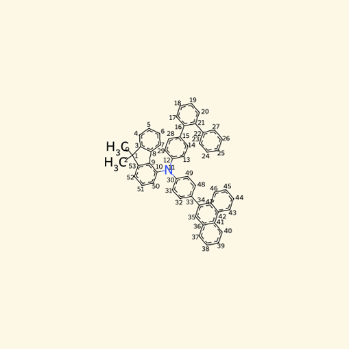 CC1(C)c2ccccc2-c2c(N(c3ccc(-c4ccccc4-c4ccccc4)cc3)c3ccc(-c4cc5ccccc5c5ccccc45)cc3)cccc21